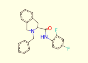 O=C(Nc1ccc(F)cc1F)C1Cc2ccccc2CN1Cc1ccccc1